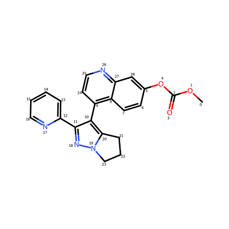 COC(=O)Oc1ccc2c(-c3c(-c4ccccn4)nn4c3CCC4)ccnc2c1